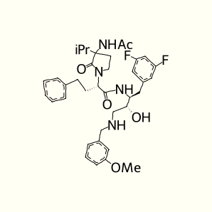 COc1cccc(CNC[C@@H](O)[C@H](Cc2cc(F)cc(F)c2)NC(=O)[C@H](CCc2ccccc2)N2CCC(NC(C)=O)(C(C)C)C2=O)c1